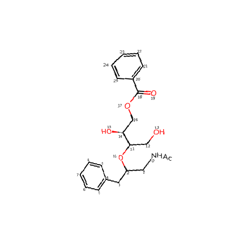 CC(=O)NCC(Cc1ccccc1)OC(CO)[C@@H](O)COC(=O)c1ccccc1